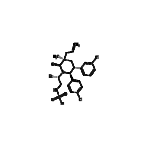 C=CC[C@@]1(C)C[C@H](c2cccc(Cl)c2)[C@@H](c2ccc(Cl)cc2)N([C@@H](CC)CNS(=O)(=O)CC)C1=O